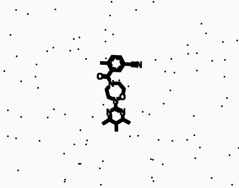 CC1=NC(N2CCN(C(=O)c3cc(C#N)ccc3C)CCO2)=NC(C)C1C